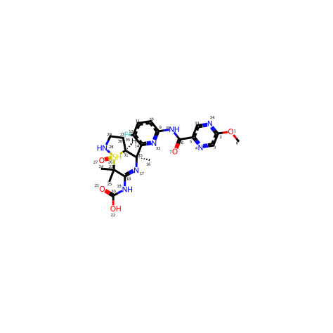 COc1cnc(C(=O)Nc2ccc(F)c([C@@]3(C)N=C(NC(=O)O)C(C)(C)[SH]4(=O)NCC[C@@H]34)n2)cn1